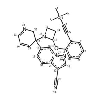 C[Si](C)(C)C#Cc1ccccc1OC1CCN1C1(c2ccc3c(C#N)cnn3c2)C=CC=NC1